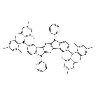 Cc1cc(C)c(B(c2ccc3c(c2)c2cc4c(cc2n3-c2ccccc2)c2cc(B(c3c(C)cc(C)cc3C)c3c(C)cc(C)cc3C)ccc2n4-c2ccccc2)c2c(C)cc(C)cc2C)c(C)c1